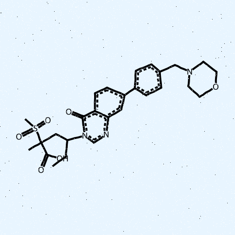 CCC(CC(C)(C(=O)O)S(C)(=O)=O)n1cnc2cc(-c3ccc(CN4CCOCC4)cc3)ccc2c1=O